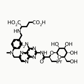 CC(C)C[C@H](O[C@@H]1O[C@H](CO)[C@@H](O)[C@H](O)[C@H]1O)C(=O)Nc1nc(N)c2nc(CN(C)c3ccc(CN[C@@H](CCC(=O)O)C(=O)O)cc3)cnc2n1